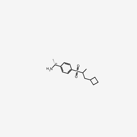 CC(CC1CCC1)S(=O)(=O)c1ccc([C@@H](C)N)cc1